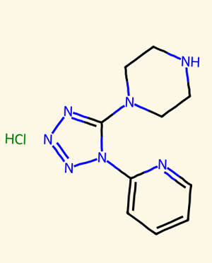 Cl.c1ccc(-n2nnnc2N2CCNCC2)nc1